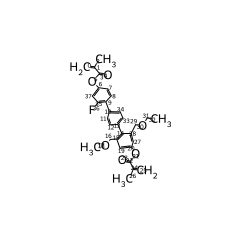 C=C(C)C(=O)Oc1ccc(-c2ccc(-c3c(COC)cc(OC(=O)C(=C)C)cc3COCC)cc2)c(F)c1